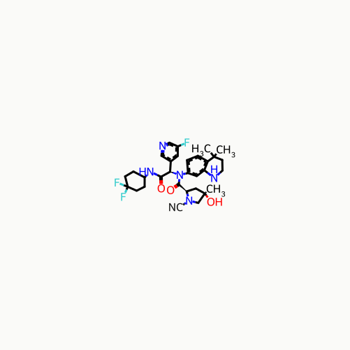 CC1(C)CCNc2cc(N(C(=O)[C@H]3C[C@@](C)(O)CN3C#N)[C@@H](C(=O)NC3CCC(F)(F)CC3)c3cncc(F)c3)ccc21